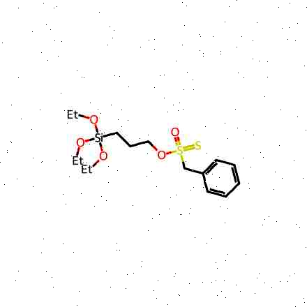 CCO[Si](CCCOS(=O)(=S)Cc1ccccc1)(OCC)OCC